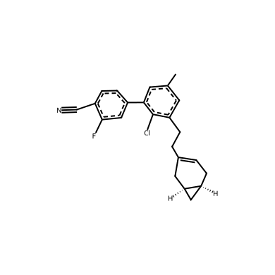 Cc1cc(CCC2=CC[C@H]3C[C@H]3C2)c(Cl)c(-c2ccc(C#N)c(F)c2)c1